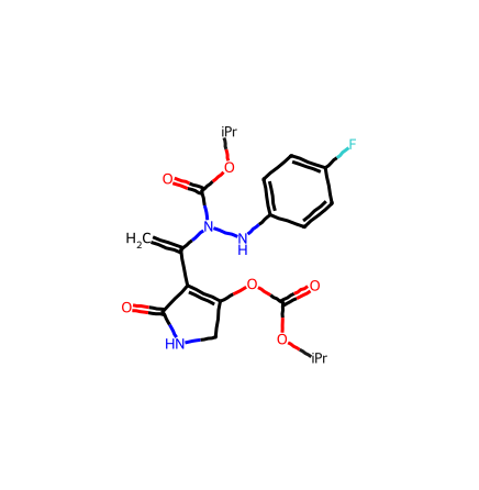 C=C(C1=C(OC(=O)OC(C)C)CNC1=O)N(Nc1ccc(F)cc1)C(=O)OC(C)C